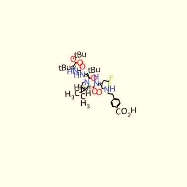 CC(C)(C)OC(=O)[C@@H](NC(=O)N[C@H](C(=O)N1C[C@H]2[C@@H]([C@H]1C(=O)N[C@@H](CC(F)F)C(=O)NCCc1ccc(C(=O)O)cc1)C2(C)C)C(C)(C)C)C(C)(C)C